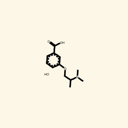 CC(COc1cccc(C(=O)O)c1)N(C)C.Cl